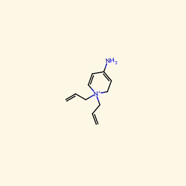 C=CC[N+]1(CC=C)C=CC(N)=CC1